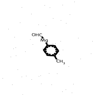 Cc1cc[c]([Mg][CH]=O)cc1